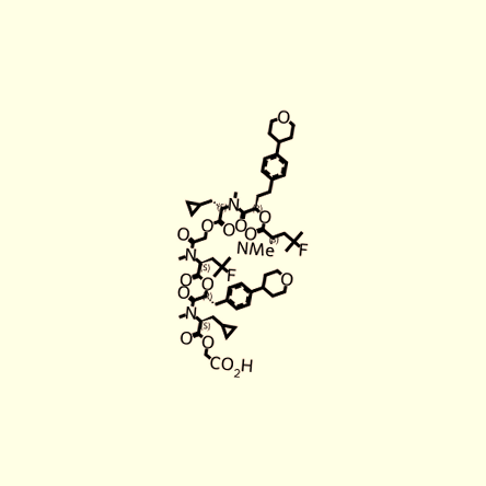 CN[C@@H](CC(C)(C)F)C(=O)O[C@H](CCc1ccc(C2CCOCC2)cc1)C(=O)N(C)[C@@H](CC1CC1)C(=O)OCC(=O)N(C)[C@@H](CC(C)(C)F)C(=O)O[C@H](Cc1ccc(C2CCOCC2)cc1)C(=O)N(C)[C@@H](CC1CC1)C(=O)OCC(=O)O